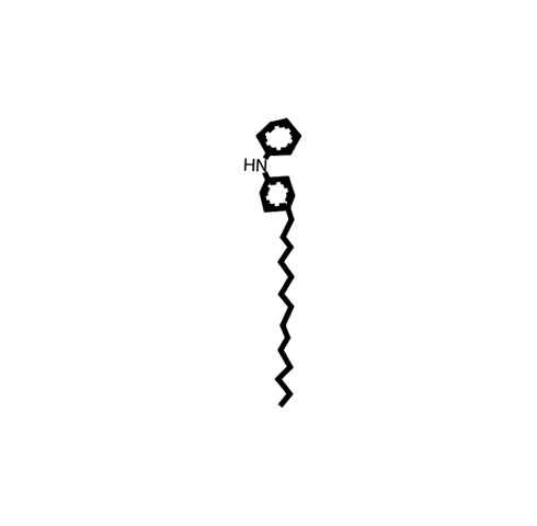 CCCCCCCCCCCCCCc1ccc(Nc2ccccc2)cc1